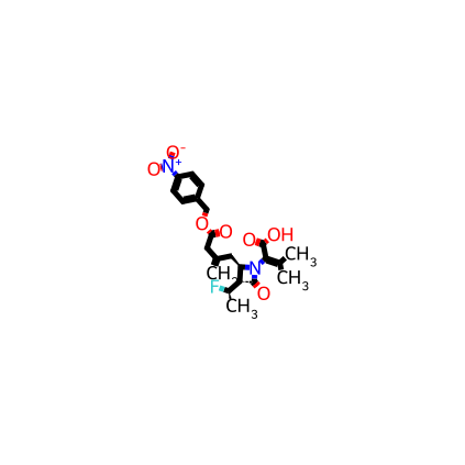 C=C(CC(=O)OCc1ccc([N+](=O)[O-])cc1)C[C@@H]1[C@@H]([C@H](C)F)C(=O)N1C(C(=O)O)=C(C)C